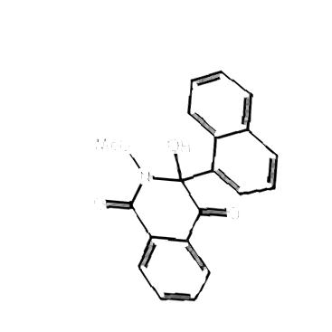 CON1C(=O)c2ccccc2C(=O)C1(O)c1cccc2ccccc12